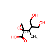 C[C@H](C(CO)CO)[C@@]1(C(=O)O)CO1